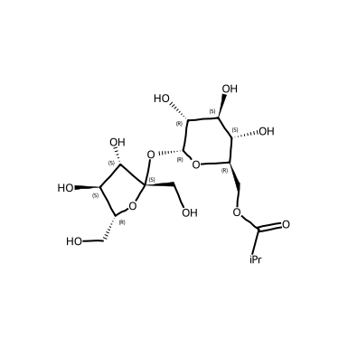 CC(C)C(=O)OC[C@H]1O[C@H](O[C@]2(CO)O[C@H](CO)[C@@H](O)[C@@H]2O)[C@H](O)[C@@H](O)[C@@H]1O